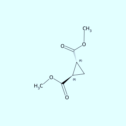 COC(=O)[C@@H]1C[C@H]1C(=O)OC